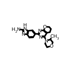 CC1COCCN1c1nc(-c2ccc3nc(N)[nH]c3c2)nc2c1CCCO2